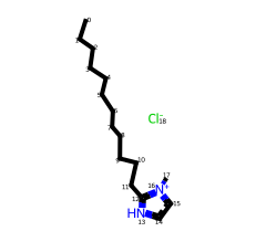 CCCCCCCCCCCCc1[nH]cc[n+]1C.[Cl-]